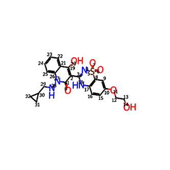 O=c1c(C2=NS(=O)(=O)c3cc(OCCO)ccc3N2)c(O)c2ccccc2n1NCC1CC1